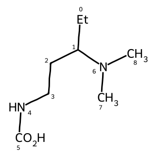 CCC(CCNC(=O)O)N(C)C